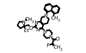 C=C(F)C(=O)N1CCN(c2nc(OCC3(CC)CCCN3C)nc3c2CCN(c2cccc4cccc(C)c24)C3)CC1